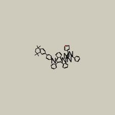 CC1(C)CCC(C)(C)c2cc(-c3ccc(-n4c5ccccc5c5c6c7ccccc7n(-c7nc(-c8ccccc8)nc(-c8ccccc8)n7)c6c6ccccc6c54)cc3)ccc21